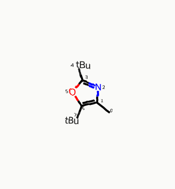 Cc1nc(C(C)(C)C)oc1C(C)(C)C